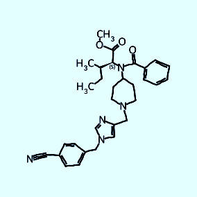 CCC(C)[C@@H](C(=O)OC)N(C(=O)c1ccccc1)C1CCN(Cc2cn(Cc3ccc(C#N)cc3)cn2)CC1